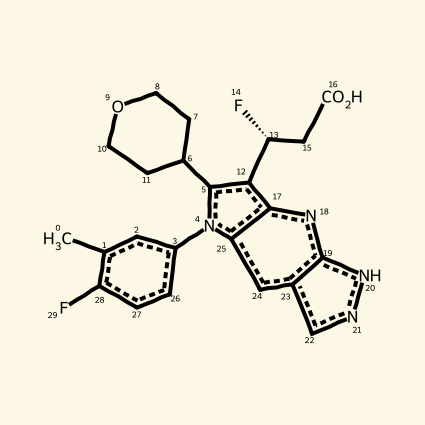 Cc1cc(-n2c(C3CCOCC3)c([C@H](F)CC(=O)O)c3nc4[nH]ncc4cc32)ccc1F